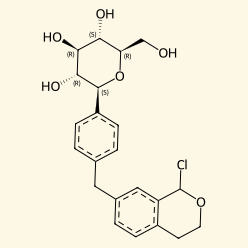 OC[C@H]1O[C@@H](c2ccc(Cc3ccc4c(c3)C(Cl)OCC4)cc2)[C@H](O)[C@@H](O)[C@@H]1O